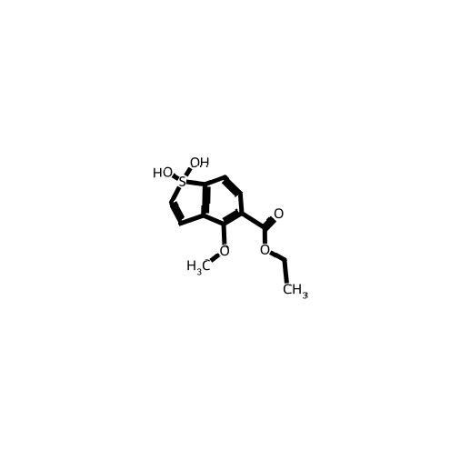 CCOC(=O)c1ccc2c(c1OC)C=CS2(O)O